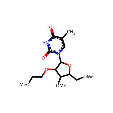 COCCOC1C(OC)C(COC)OC1n1cc(C)c(=O)[nH]c1=O